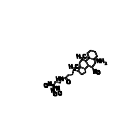 CC12CCC3C(C(N=O)CC4(N)CCCCC34C)C1CCC2CCCC(=O)NCCS(N=O)(N=O)N=O